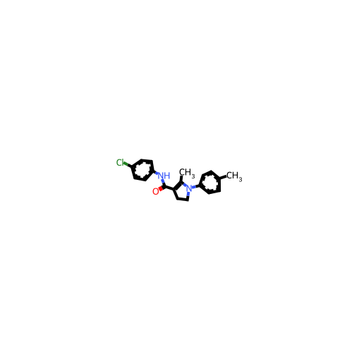 CC1=C(C(=O)Nc2ccc(Cl)cc2)CCN1c1ccc(C)cc1